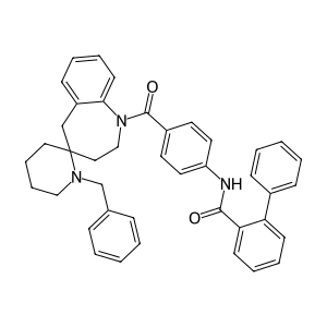 O=C(Nc1ccc(C(=O)N2CCC3(CCCCN3Cc3ccccc3)Cc3ccccc32)cc1)c1ccccc1-c1ccccc1